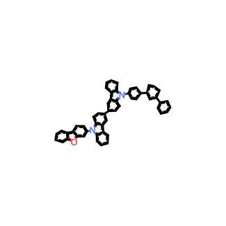 c1ccc(-c2cccc(-c3ccc(-n4c5ccccc5c5cc(-c6ccc7c(c6)c6ccccc6n7-c6ccc7c(c6)oc6ccccc67)ccc54)cc3)c2)cc1